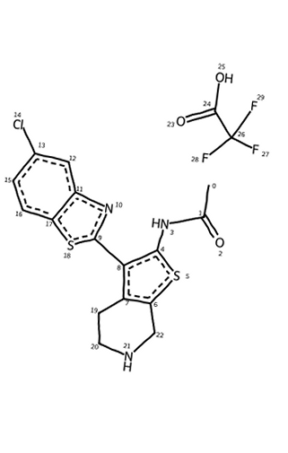 CC(=O)Nc1sc2c(c1-c1nc3cc(Cl)ccc3s1)CCNC2.O=C(O)C(F)(F)F